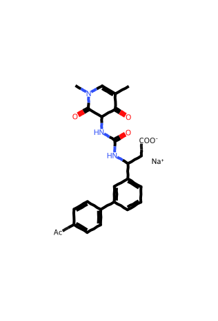 CC(=O)c1ccc(-c2cccc(C(CC(=O)[O-])NC(=O)NC3C(=O)C(C)=CN(C)C3=O)c2)cc1.[Na+]